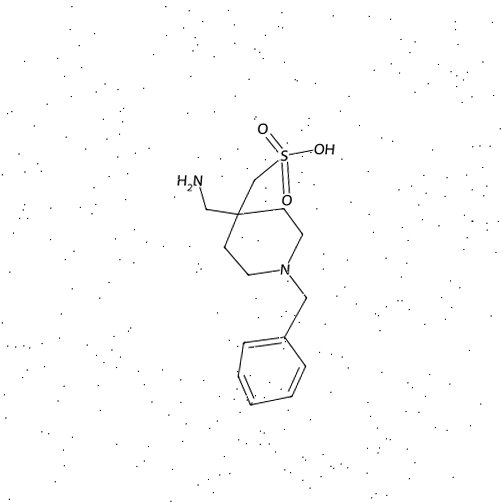 NCC1(CS(=O)(=O)O)CCN(Cc2ccccc2)CC1